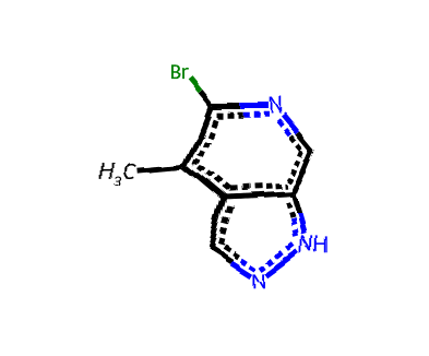 Cc1c(Br)ncc2[nH]ncc12